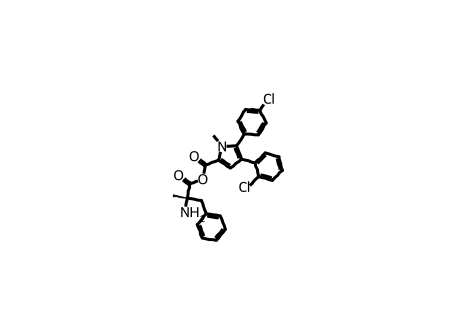 Cn1c(C(=O)OC(=O)[C@@](C)(N)Cc2ccccc2)cc(-c2ccccc2Cl)c1-c1ccc(Cl)cc1